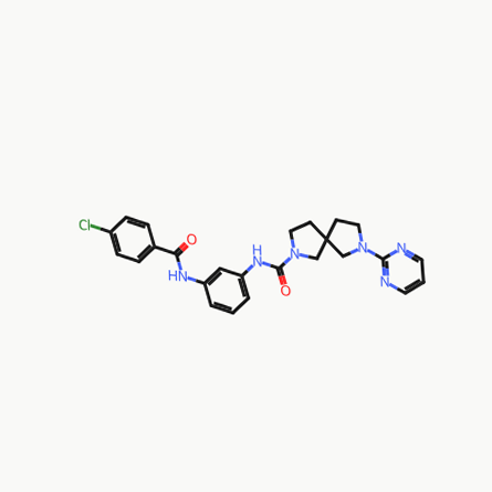 O=C(Nc1cccc(NC(=O)N2CCC3(CCN(c4ncccn4)C3)C2)c1)c1ccc(Cl)cc1